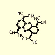 [C-]#[N+]C([N+]#[C-])=c1ccc(=C(C#N)C#N)c2cc3c(=C(C#N)C#N)ccc(=C([N+]#[C-])[N+]#[C-])c3cc12